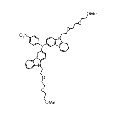 COCCOCCOCCn1c2c(c3cc(N(c4ccc([N+](=O)[O-])cc4)c4ccc5c(c4)c4ccccc4n5CCOCCOCCOC)ccc31)C=CCC2